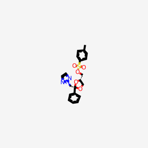 Cc1ccc(S(=O)(=O)OC[C@@H]2CO[C@@](Cn3nccn3)(c3ccccc3)O2)cc1